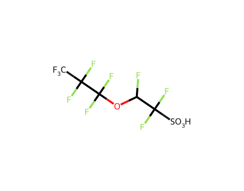 O=S(=O)(O)C(F)(F)C(F)OC(F)(F)C(F)(F)C(F)(F)F